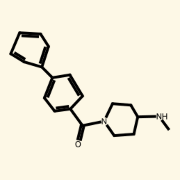 CNC1CCN(C(=O)c2ccc(-c3ccccc3)cc2)CC1